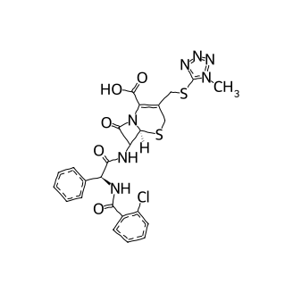 Cn1nnnc1SCC1=C(C(=O)O)N2C(=O)C(NC(=O)[C@@H](NC(=O)c3ccccc3Cl)c3ccccc3)[C@@H]2SC1